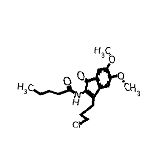 CCCCC(=O)NC1=C(CCCCl)c2cc(OC)c(OC)cc2C1=O